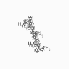 Cc1cccc(N(c2ccccc2)c2ccc3c(c2)C(C)(C)c2cc(-c4ccc5c(c4)C(C)(C)c4cc(-c6ccc7c(c6)C(C)(C)c6cc(N(c8ccccc8)c8cccc(C)c8)ccc6-7)ccc4-5)ccc2-3)c1